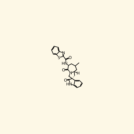 CC1C[C@@H]2C[C@@]3(CN2C(=O)[C@@H](NC(=O)c2nc4ccccc4s2)C1)C(=O)Nc1ccccc13